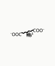 O=C([O-])CCCCCCCC(=O)[O-].[Rb+].[Rb+]